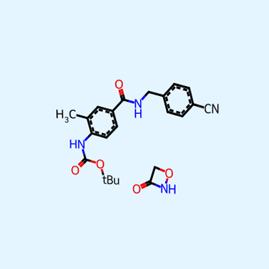 Cc1cc(C(=O)NCc2ccc(C#N)cc2)ccc1NC(=O)OC(C)(C)C.O=C1CON1